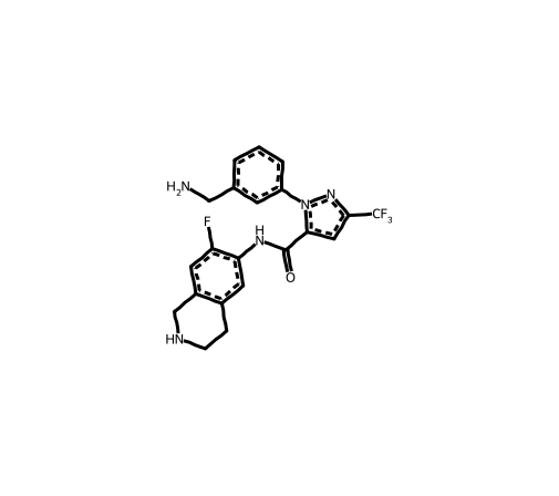 NCc1cccc(-n2nc(C(F)(F)F)cc2C(=O)Nc2cc3c(cc2F)CNCC3)c1